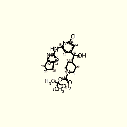 CC(C)(C)OC(=O)N1CCC(C(O)c2cc(Cl)nc(Nc3nc4c(s3)CCC4)c2)CC1